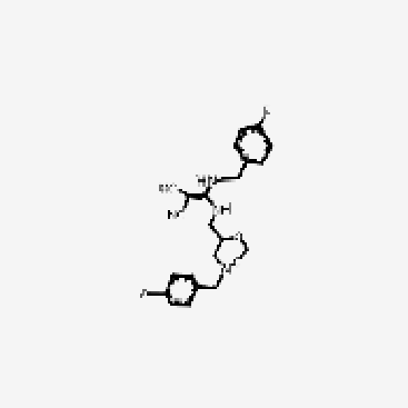 N#CC(C#N)=C(NCc1ccc(F)cc1)NCC1CN(Cc2ccc(F)cc2)CCO1